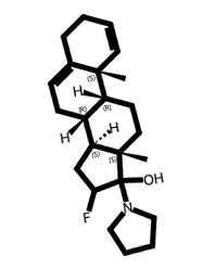 C[C@]12C=CCCC1=CC[C@@H]1[C@H]2CC[C@@]2(C)[C@H]1CC(F)C2(O)N1CCCC1